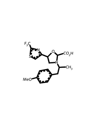 COc1ccc(CC(C)N2CC(c3csc(C(F)(F)F)n3)OC2C(=O)O)cc1